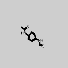 CC(=S)Nc1ccc(NC=S)cc1